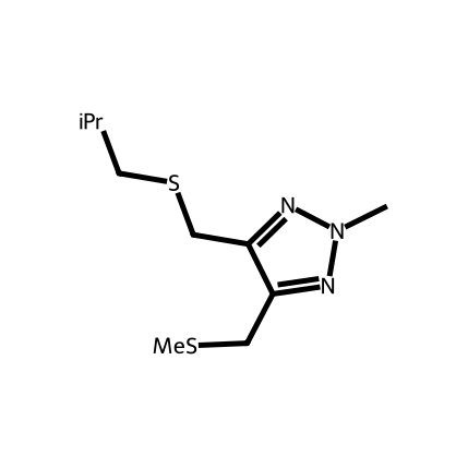 CSCc1nn(C)nc1CSCC(C)C